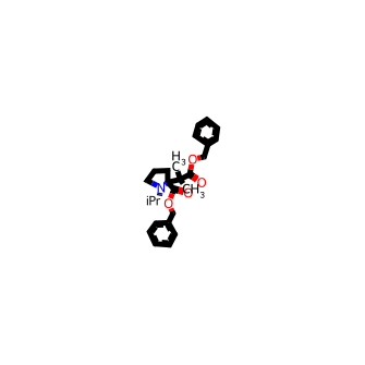 CC(C)N1CCCC1(C(=O)OCc1ccccc1)C(C)(C)C(=O)OCc1ccccc1